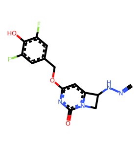 C=NNC1Cn2c1cc(OCc1cc(F)c(O)c(F)c1)nc2=O